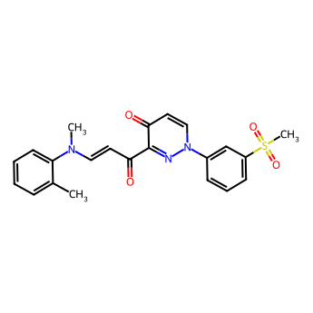 Cc1ccccc1N(C)/C=C/C(=O)c1nn(-c2cccc(S(C)(=O)=O)c2)ccc1=O